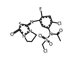 CC(=O)N(c1cc(N=c2sc(=O)n3n2CCC3)c(F)cc1Cl)S(=O)(=O)CCl